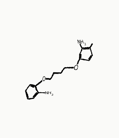 Cc1ccc(OCCCCOc2ccccc2N)cc1N